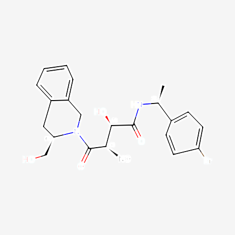 C[C@H](NC(=O)[C@H](O)[C@@H](N=O)C(=O)N1Cc2ccccc2C[C@@H]1CO)c1ccc(Br)cc1